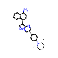 C[C@@H]1CCC[C@H](C)N1c1ccc(-c2cnc3c(-c4ccc(N)c5ccccc45)cnn3c2)cc1